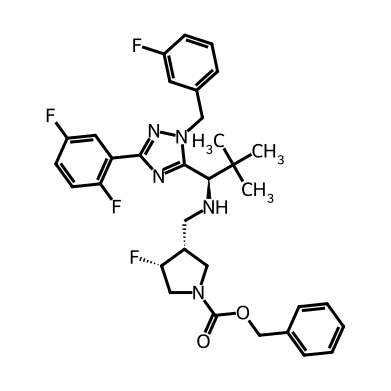 CC(C)(C)[C@@H](NC[C@@H]1CN(C(=O)OCc2ccccc2)C[C@@H]1F)c1nc(-c2cc(F)ccc2F)nn1Cc1cccc(F)c1